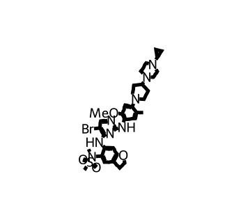 COc1cc(N2CCC(N3CCN(C4CC4)CC3)CC2)c(C)cc1Nc1ncc(Br)c(Nc2cc3c(cc2N(C)S(C)(=O)=O)CCO3)n1